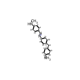 CNc1ccc(/N=N/c2ccc(Cc3ccc(N)cc3)cc2)cc1